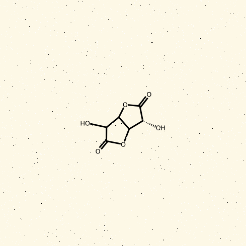 O=C1OC2C(OC(=O)[C@@H]2O)C1O